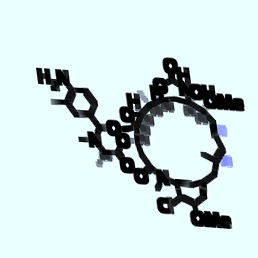 COc1cc2cc(c1Cl)N(C)C(=O)C[C@H](OC(=O)[C@H](C)N(C)C(=O)c1ccc(N)c(C)c1)[C@]1(C)O[C@H]1[C@H](C)[C@@H]1C[C@@](O)(NC(=O)O1)[C@H](OC)/C=C/C=C(\C)C2